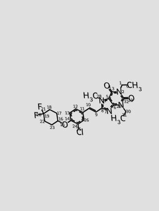 CCn1c(=O)c2c(nc(C=Cc3ccc(OC4CCC(F)(F)CC4)c(Cl)c3)n2C)n(CC)c1=O